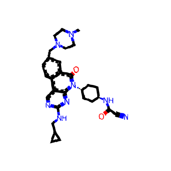 CN1CCN(Cc2ccc3c(c2)c(=O)n([C@H]2CC[C@H](NC(=O)C#N)CC2)c2nc(NCC4CC4)ncc32)CC1